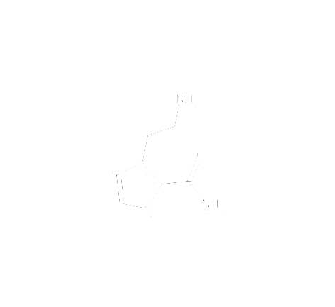 NC[CH]c1ccsc1C(N)=O